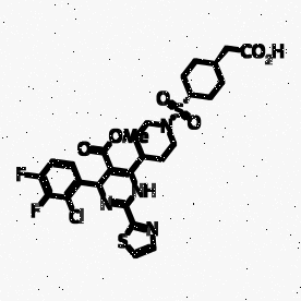 COC(=O)C1=C(C2CCN(S(=O)(=O)[C@H]3CC[C@H](CC(=O)O)CC3)CC2)NC(c2nccs2)=NC1c1ccc(F)c(F)c1Cl